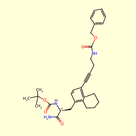 CC(C)(C)OC(=O)N[C@@H](Cc1ccc(C#CCCNC(=O)OCc2ccccc2)c2c1CCCC2)C(N)=O